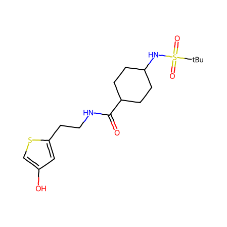 CC(C)(C)S(=O)(=O)NC1CCC(C(=O)NCCc2cc(O)cs2)CC1